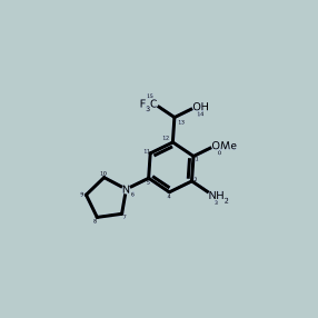 COc1c(N)cc(N2CCCC2)cc1C(O)C(F)(F)F